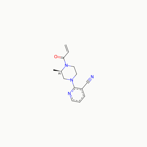 C=CC(=O)N1CCN(c2ncccc2C#N)C[C@H]1C